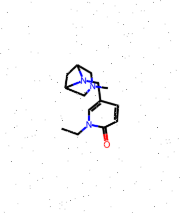 CCn1cc(CN2C3CC2CN(C)C3)ccc1=O